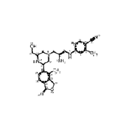 Cc1cc(N/C=C(\N)CN2CC(CO)NC(c3ccc4c(c3C)COC4=O)C2)ncc1C#N